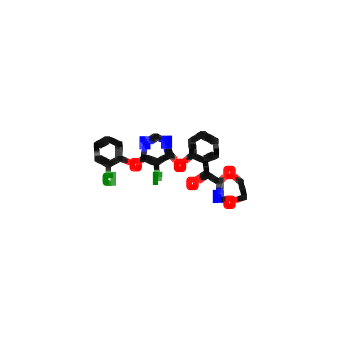 O=C(C1=NOCCO1)c1ccccc1Oc1ncnc(Oc2ccccc2Cl)c1F